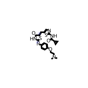 CN(C)CCOc1ccc(/N=C2/NC(=O)/C(=C/c3cnc(NC(=O)C4CC4)s3)S2)cc1